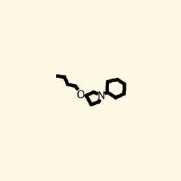 CCCCO[C@H]1CCN(C2CCCCC2)C1